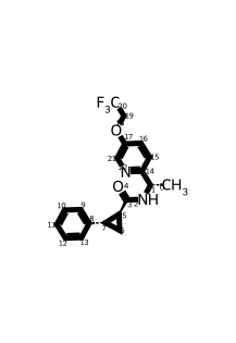 C[C@H](NC(=O)[C@H]1C[C@@H]1c1ccccc1)c1ccc(OCC(F)(F)F)cn1